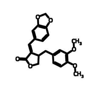 COc1ccc(CC2COC(=O)/C2=C/c2ccc3c(c2)OCO3)cc1OC